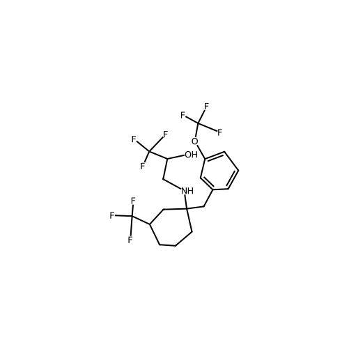 OC(CNC1(Cc2cccc(OC(F)(F)F)c2)CCCC(C(F)(F)F)C1)C(F)(F)F